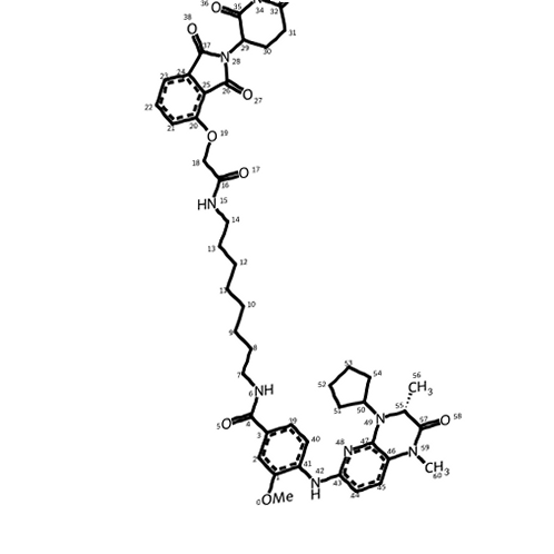 COc1cc(C(=O)NCCCCCCCCNC(=O)COc2cccc3c2C(=O)N(C2CCC(=O)NC2=O)C3=O)ccc1Nc1ccc2c(n1)N(C1CCCC1)[C@H](C)C(=O)N2C